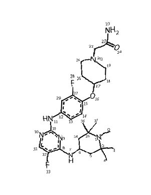 CN1C(C)(C)CC(Nc2nc(Nc3ccc(OC4CCN(CC(N)=O)CC4)c(F)c3)ncc2F)CC1(C)C